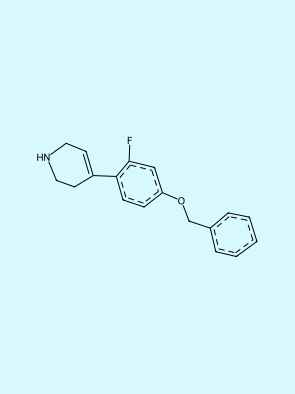 Fc1cc(OCc2ccccc2)ccc1C1=CCNCC1